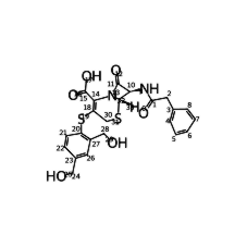 O=C(Cc1ccccc1)N[C@@H]1C(=O)N2C(C(=O)O)=C(Sc3ccc(CO)cc3CO)CS[C@@H]12